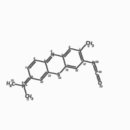 Cc1cc2nc3ccc(=[N+](C)C)cc-3sc2cc1N=C=O